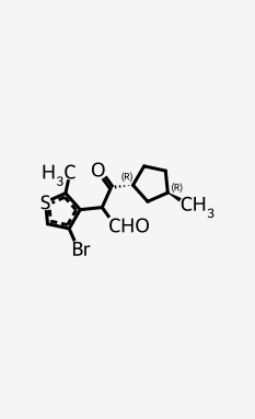 Cc1scc(Br)c1C(C=O)C(=O)[C@@H]1CC[C@@H](C)C1